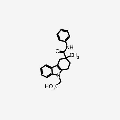 CC1(C(=O)Nc2ccccc2)CCc2c(c3ccccc3n2CC(=O)O)C1